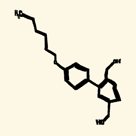 CCCCCCOc1ccc(-c2cc(CO)ccc2CO)cc1